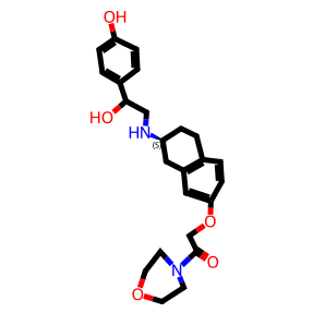 O=C(COc1ccc2c(c1)C[C@@H](NCC(O)c1ccc(O)cc1)CC2)N1CCOCC1